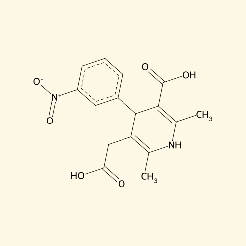 CC1=C(CC(=O)O)C(c2cccc([N+](=O)[O-])c2)C(C(=O)O)=C(C)N1